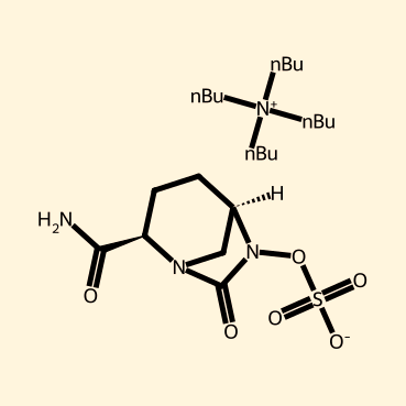 CCCC[N+](CCCC)(CCCC)CCCC.NC(=O)[C@H]1CC[C@@H]2CN1C(=O)N2OS(=O)(=O)[O-]